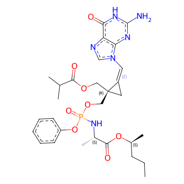 CCC[C@H](C)OC(=O)[C@H](C)NP(=O)(OC[C@]1(COC(=O)C(C)C)C/C1=C/n1cnc2c(=O)[nH]c(N)nc21)Oc1ccccc1